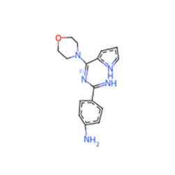 N=C(/N=C(\c1ccc[nH]1)N1CCOCC1)c1ccc(N)cc1